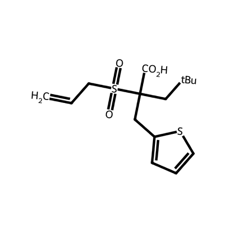 C=CCS(=O)(=O)C(Cc1cccs1)(CC(C)(C)C)C(=O)O